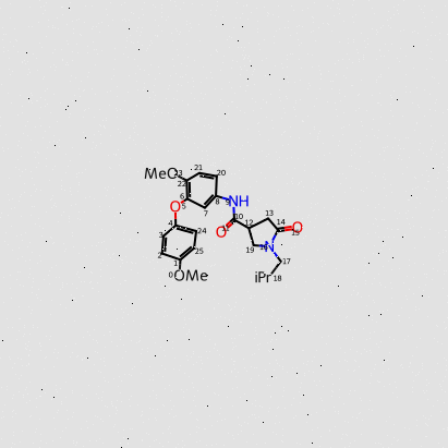 COc1ccc(Oc2cc(NC(=O)C3CC(=O)N(CC(C)C)C3)ccc2OC)cc1